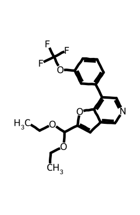 CCOC(OCC)c1cc2cncc(-c3cccc(OC(F)(F)F)c3)c2o1